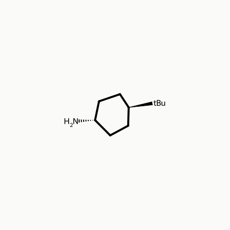 CC(C)(C)[C@H]1CC[C@H](N)CC1